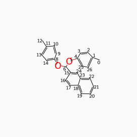 Cc1ccc(OC(Oc2ccc(C)cc2)c2ccc3ccccc3c2)cc1